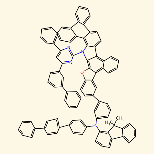 CC1(C)c2ccccc2-c2cccc(N(c3ccc(-c4ccc(-c5ccccc5)cc4)cc3)c3cccc(-c4ccc5oc6c(c5c4)c4ccccc4c4c5ccc7c8ccccc8c8ccccc8c7c5n(-c5nc(-c7ccccc7)cc(-c7cccc(-c8ccccc8)c7)n5)c64)c3)c21